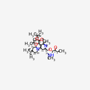 CCC(=O)CO[C@H](CNC)C1CC(N2CCC(C)(C)CC2)=C(C(OC(C)C)C(=O)OC(C)C)C(C)=N1